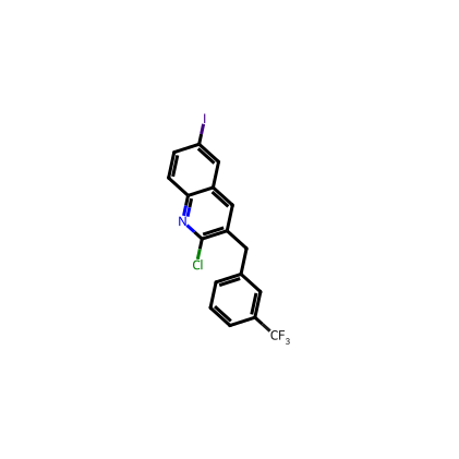 FC(F)(F)c1cccc(Cc2cc3cc(I)ccc3nc2Cl)c1